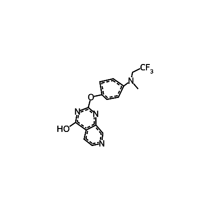 CN(CC(F)(F)F)c1ccc(Oc2nc(O)c3ccncc3n2)cc1